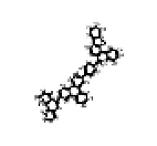 c1cnc2c(c1)cc(-c1ccc3c4ccc(-c5ccc(-c6nc7ccccc7c7c6ccc6c8ccccc8sc67)cc5)cc4c4ccccc4c3c1)c1cccnc12